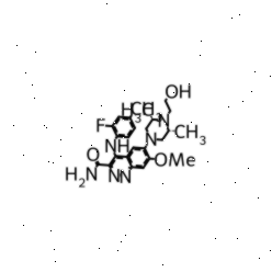 COc1cc2nnc(C(N)=O)c(Nc3ccc(C)cc3F)c2cc1N1C[C@@H](C)N(CCO)[C@@H](C)C1